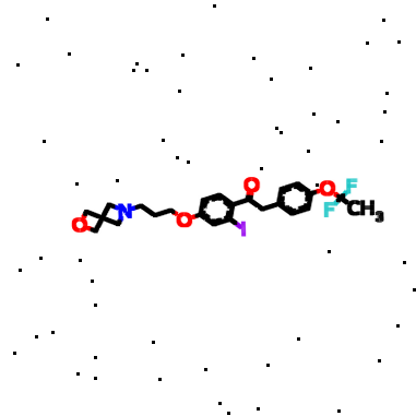 CC(F)(F)Oc1ccc(CC(=O)c2ccc(OCCCN3CC4(COC4)C3)cc2I)cc1